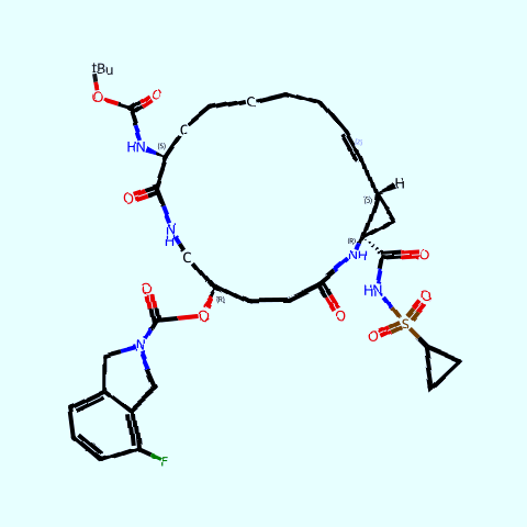 CC(C)(C)OC(=O)N[C@H]1CCCCC/C=C\[C@@H]2C[C@@]2(C(=O)NS(=O)(=O)C2CC2)NC(=O)CC[C@@H](OC(=O)N2Cc3cccc(F)c3C2)CNC1=O